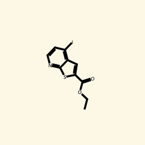 CCOC(=O)c1cc2c(I)ccnc2s1